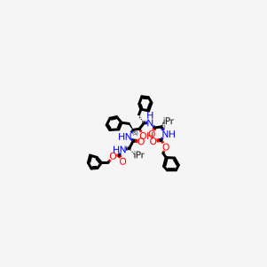 CC(C)[C@H](NC(=O)OCc1ccccc1)C(=O)N[C@@H](Cc1ccccc1)C(O)[C@H](Cc1ccccc1)NC(=O)[C@@H](NC(=O)OCc1ccccc1)C(C)C